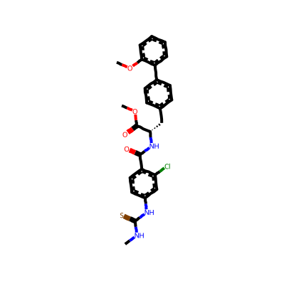 CNC(=S)Nc1ccc(C(=O)N[C@@H](Cc2ccc(-c3ccccc3OC)cc2)C(=O)OC)c(Cl)c1